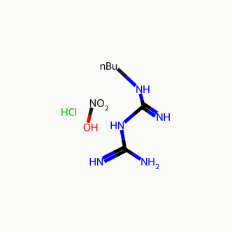 CCCCNC(=N)NC(=N)N.Cl.O=[N+]([O-])O